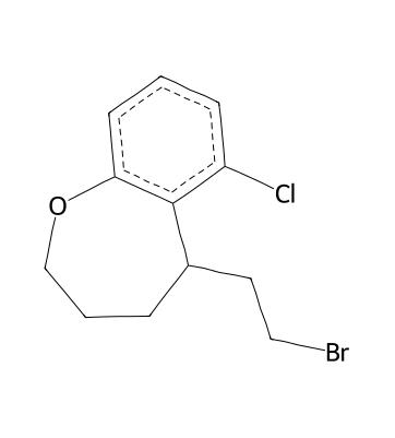 Clc1cccc2c1C(CCBr)CCCO2